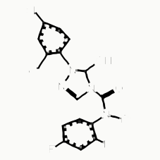 CC(C)N(C(=O)N1C=NN(c2ccc(Cl)cc2Cl)C1O)c1ccc(F)cc1F